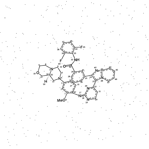 COc1cc(N2CCN3CCOC[C@@H]3C2)ccc1Nc1nccc(-c2c(-c3cccc(C(=O)Nc4c(F)cccc4F)c3)nc3ccccn23)n1